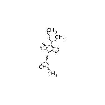 CCCCC(C#Cc1c2ccsc2c(C(CC)CCCC)c2ccsc12)CC